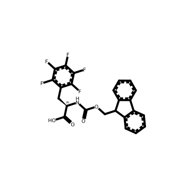 O=C(N[C@H](Cc1c(F)c(F)c(F)c(F)c1F)C(=O)O)OCC1c2ccccc2-c2ccccc21